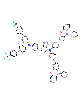 FC(F)(F)c1ccc(-c2ccc3c(c2)c2cc(-c4ccc(C(F)(F)F)cc4)ccc2n3-c2ccc(-c3ccc(N(c4ccc(-c5ccc6c(c5)Oc5ccccc5N6c5ccccc5)cc4)c4ccc(-c5ccc6c(c5)Oc5ccccc5N6c5ccccc5)cc4)c4nsnc34)cc2)cc1